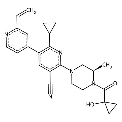 C=Cc1cc(-c2cc(C#N)c(N3CCN(C(=O)C4(O)CC4)[C@H](C)C3)nc2C2CC2)ccn1